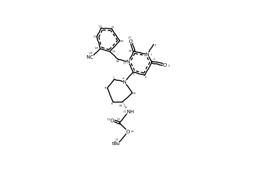 Cn1c(=O)cc(N2CCC[C@@H](NC(=O)OC(C)(C)C)C2)n(Cc2ccccc2C#N)c1=O